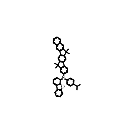 CC(C)c1ccc(N(c2ccc3c(c2)C(C)(C)c2cc4c(cc2-3)C(C)(C)c2cc3ccccc3cc2-4)C2C=CC=C3c4ccccc4OC32)cc1